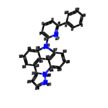 c1ccc(-c2cccc(-n3c4cccc5c4c4c3cccc4n3nccc53)n2)cc1